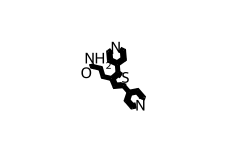 NC(=O)CCc1cc(-c2ccncc2)sc1-c1ccncc1